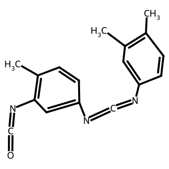 Cc1ccc(N=C=Nc2ccc(C)c(N=C=O)c2)cc1C